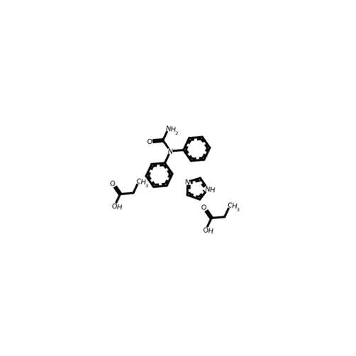 CCC(=O)O.CCC(=O)O.NC(=O)N(c1ccccc1)c1ccccc1.c1c[nH]cn1